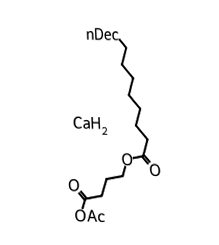 CCCCCCCCCCCCCCCCCC(=O)OCCCC(=O)OC(C)=O.[CaH2]